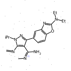 C=Nc1c(/C(N)=N\C)c(-c2ccc3oc(N(CC)CC)nc3c2)nn1C(C)C